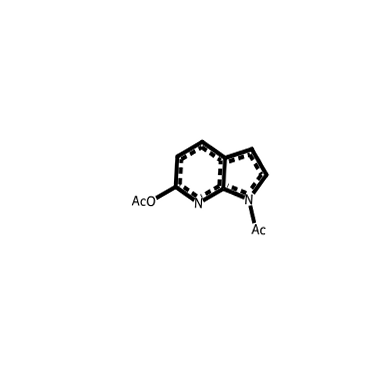 CC(=O)Oc1ccc2ccn(C(C)=O)c2n1